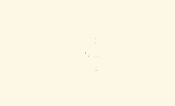 CCCN(C(=O)CF)c1ccccc1